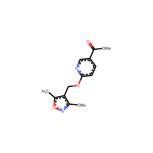 COC(=O)c1ccc(OCc2c(OCC(C)C)noc2C)nc1